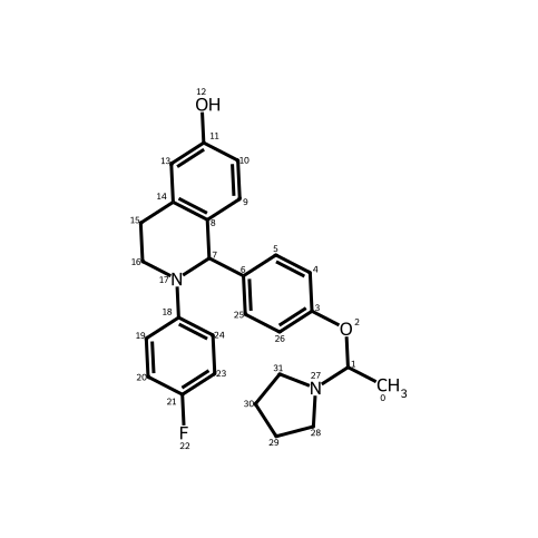 CC(Oc1ccc(C2c3ccc(O)cc3CCN2c2ccc(F)cc2)cc1)N1CCCC1